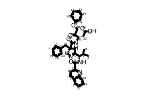 CC(C)[C@H](NC(=O)c1ccc2ccccc2n1)C1=NOC(Cc2ccccc2)(C(=O)N[C@@H](CC(=O)O)C(=O)COc2ccccc2)C1